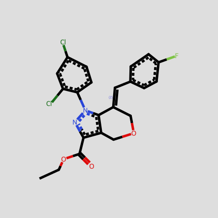 CCOC(=O)c1nn(-c2ccc(Cl)cc2Cl)c2c1COC/C2=C\c1ccc(F)cc1